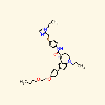 CCCCOCCOc1ccc(-c2ccc3c(c2)/C=C(/C(=O)Nc2ccc(SCc4nccn4CCC)cc2)CCCN3CCC)cc1